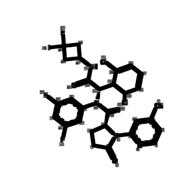 N#Cc1ccnc(N2C(=O)CC[C@H]2C(=O)N(c2cc(F)cc(F)c2)[C@H](C(=O)NC2CC(F)(I)C2)C2C(Cl)=CC=CC2Cl)c1